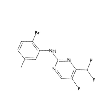 Cc1ccc(Br)c(Nc2ncc(F)c(C(F)F)n2)c1